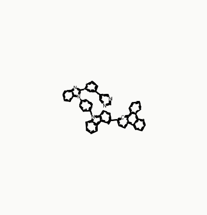 c1cc(-c2cncnc2)cc(-c2nc3ccccc3n2-c2ccc(-n3c4ccccc4c4cc(-c5ccc6c7ccccc7c7ccccc7c6c5)ccc43)cc2)c1